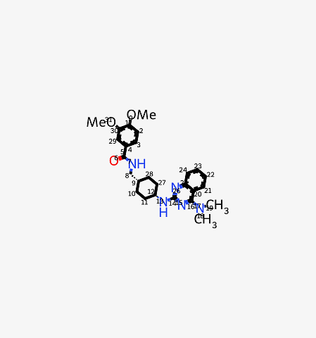 COc1ccc(C(=O)NC[C@H]2CC[C@@H](Nc3nc(N(C)C)c4ccccc4n3)CC2)cc1OC